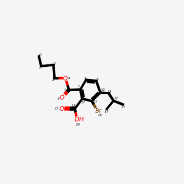 CCCCOC(=O)c1ccc(CC(C)C)c(Br)c1C(=O)O